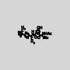 CC(=O)N[C@H](C(=O)N1C[C@H](O)C[C@H]1C(=O)NC(C)c1cnc(-c2scnc2C)cn1)C(C)(C)C